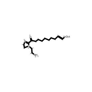 CCCCCCCCC=CCCCCCCCC(=O)C1=NCCN1CCN